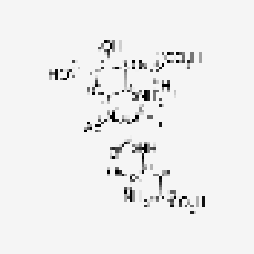 CC(=O)N(C1O[C@H](CO)[C@@H](O)[C@H](O[C@H](C)C(=O)O)[C@H]1N)[C@@H](C)C(=O)N[C@H](CCC(=O)O)C(N)=O